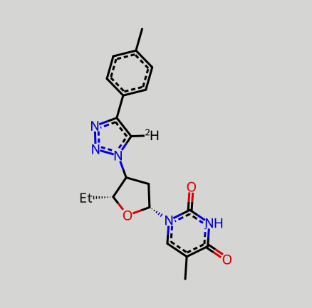 [2H]c1c(-c2ccc(C)cc2)nnn1C1C[C@H](n2cc(C)c(=O)[nH]c2=O)O[C@@H]1CC